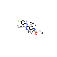 COc1cc(F)ccc1Nc1ncnc2cc(N=S(C)(C)=O)cc(C)c12